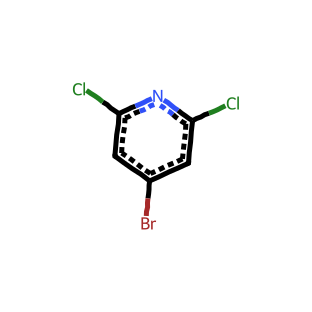 Clc1cc(Br)cc(Cl)n1